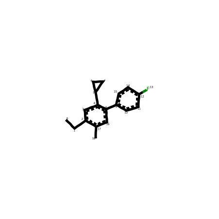 CCc1cc(C2CC2)c(-c2ccc(F)cc2)cc1C